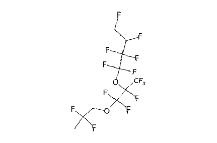 CC(F)(F)COC(F)(F)C(F)(OC(F)(F)C(F)(F)C(F)CF)C(F)(F)F